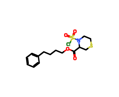 O=C(OCCCCc1ccccc1)C1CSCCN1S(=O)(=O)Cl